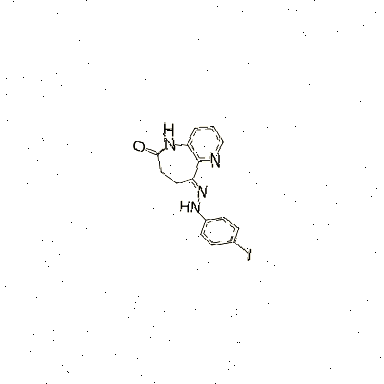 O=C1CCC(=NNc2ccc(I)cc2)c2ncccc2N1